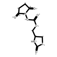 O=C(OCC1CSC(=O)N1)ON1C(=O)CCC1=O